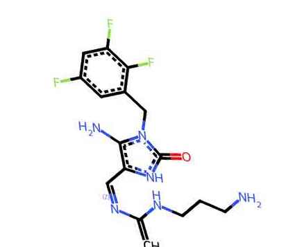 C=C(/N=C\c1[nH]c(=O)n(Cc2cc(F)cc(F)c2F)c1N)NCCCN